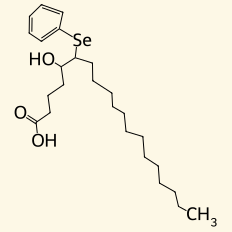 CCCCCCCCCCCCCC([Se]c1ccccc1)C(O)CCCC(=O)O